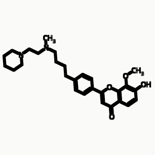 COc1c(O)ccc2c(=O)cc(-c3ccc(CCCCN(C)CCN4CCCCC4)cc3)oc12